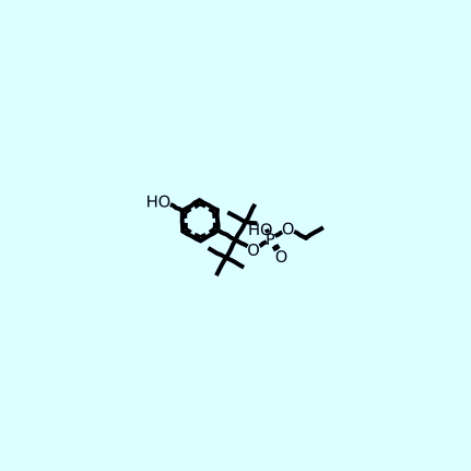 CCOP(=O)(O)OC(c1ccc(O)cc1)(C(C)(C)C)C(C)(C)C